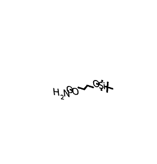 CC(C)(C)[Si](C)(C)OCCCCOON